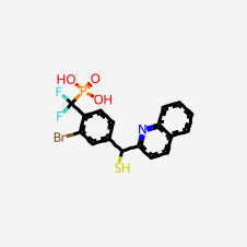 O=P(O)(O)C(F)(F)c1ccc(C(S)c2ccc3ccccc3n2)cc1Br